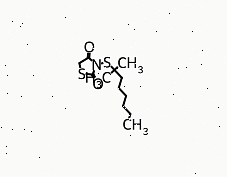 CCCCCCC(C)(C)SN1C(=O)CSC1=O